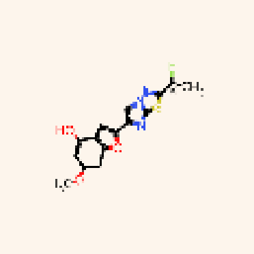 COC1C=C(O)c2cc(-c3cn4nc([C@H](C)F)sc4n3)oc2C1